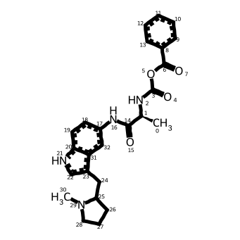 C[C@H](NC(=O)OC(=O)c1ccccc1)C(=O)Nc1ccc2[nH]cc(CC3CCCN3C)c2c1